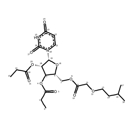 CCC(=O)OC1[C@@H](COC(=O)COCCC(C)C)O[C@@H](n2ccc(=O)[nH]c2=O)[C@H]1OC(=O)CC